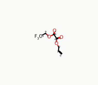 C=CCOC(=O)C(=O)OCC(F)(F)F